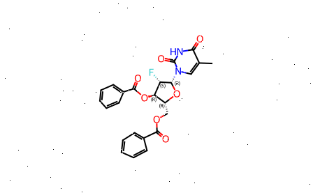 Cc1cn([C@@H]2O[C@H](COC(=O)c3ccccc3)[C@@H](OC(=O)c3ccccc3)[C@@H]2F)c(=O)[nH]c1=O